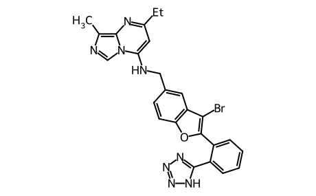 CCc1cc(NCc2ccc3oc(-c4ccccc4-c4nnn[nH]4)c(Br)c3c2)n2cnc(C)c2n1